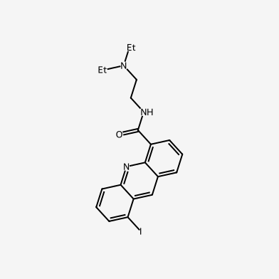 CCN(CC)CCNC(=O)c1cccc2cc3c(I)cccc3nc12